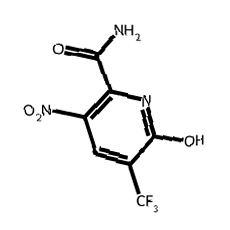 NC(=O)c1nc(O)c(C(F)(F)F)cc1[N+](=O)[O-]